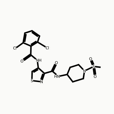 CS(=O)(=O)N1CCC(NC(=O)c2nscc2NC(=O)c2c(Cl)cccc2Cl)CC1